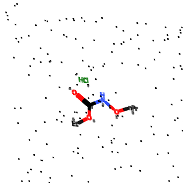 CCCONC(=O)OCC.Cl